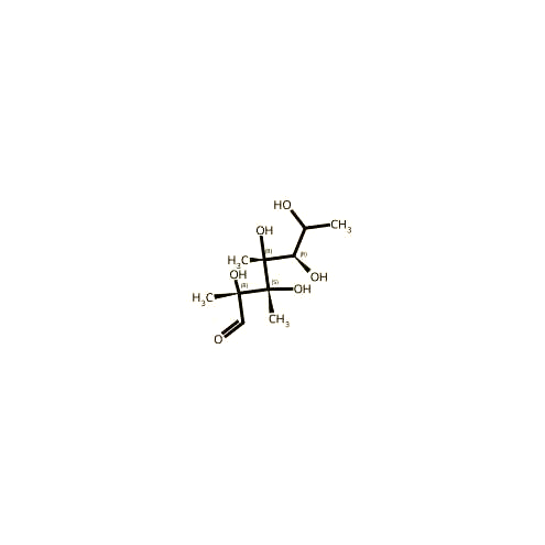 CC(O)[C@@H](O)[C@@](C)(O)[C@](C)(O)[C@@](C)(O)C=O